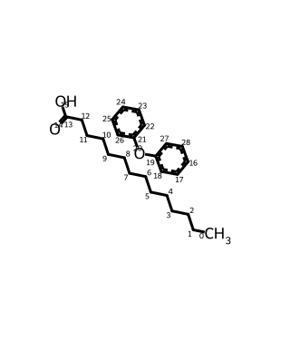 CCCCCCCCCCCCCC(=O)O.c1ccc(Oc2ccccc2)cc1